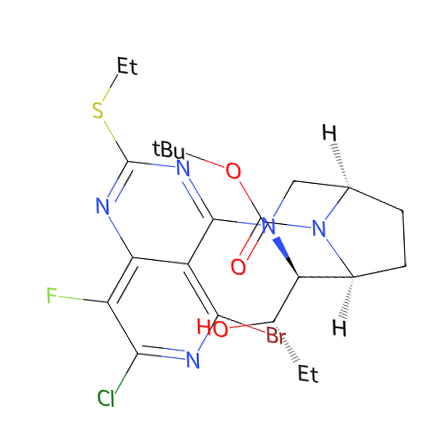 CCSc1nc(N2C[C@H]3CC[C@@H]([C@H]2[C@@H](O)CC)N3C(=O)OC(C)(C)C)c2c(Br)nc(Cl)c(F)c2n1